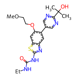 CCNC(=O)Nc1nc2cc(-c3cnc(C(C)(C)O)nc3)c(OCCOC)cc2s1